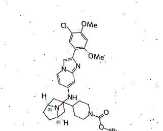 COc1cc(OC)c(-c2cn3ccc(NC4C[C@H]5CC[C@@H](C4)N5CC4CCN(C(=O)OC(C)(C)C)CC4)cc3n2)cc1Cl